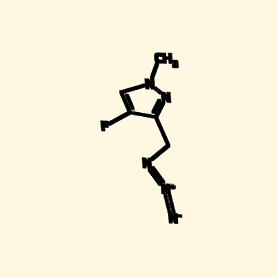 Cn1cc(F)c(CN=[N+]=[N-])n1